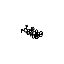 COc1cc(F)cc(F)c1CNC(=O)c1c2n3c(c(O)c1=O)C(=O)N1CCCOC1C3CC2